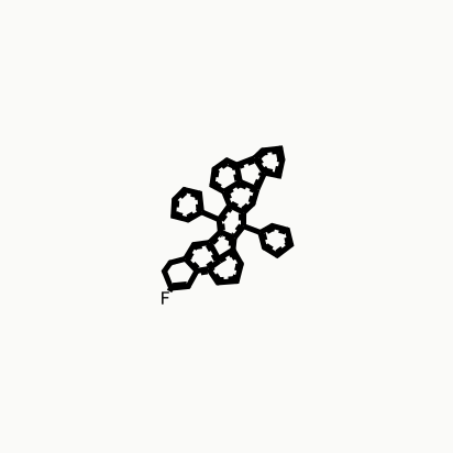 FC1=Cc2c(cc3c4c(-c5ccccc5)c5c(cc6c7ccccc7c7cccc5c76)c(-c5ccccc5)c4c4cccc2c43)CC1